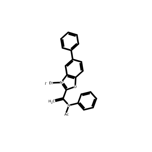 C=C(c1oc2ccc(-c3ccccc3)cc2[n+]1CC)N(C(C)=O)c1ccccc1.[I-]